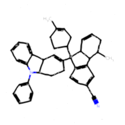 CC1=CCC(C2(C3=CC4c5ccccc5N(c5ccccc5)C4CC3)c3ccc(C#N)cc3C3C(C)CC=CC32)CC1